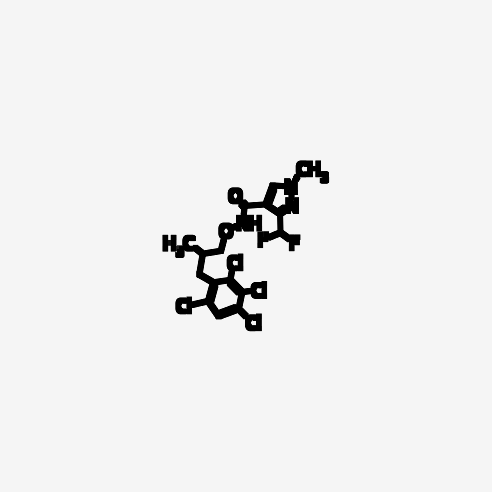 CC(CONC(=O)c1cn(C)nc1C(F)F)Cc1c(Cl)cc(Cl)c(Cl)c1Cl